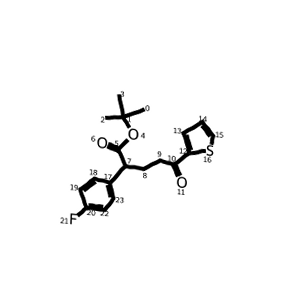 CC(C)(C)OC(=O)C(CCC(=O)c1cccs1)c1ccc(F)cc1